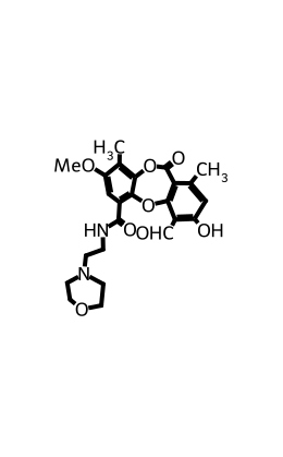 COc1cc(C(=O)NCCN2CCOCC2)c2c(c1C)OC(=O)c1c(C)cc(O)c(C=O)c1O2